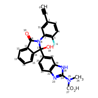 C#Cc1ccc(F)c(N2C(=O)c3ccccc3C2(O)c2ccc3nc(N(C)C(=O)O)[nH]c3c2)c1